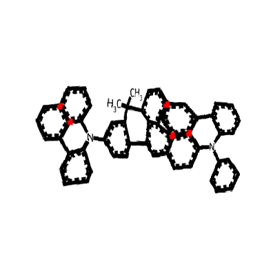 CC1(C)c2cc(N(c3ccccc3)c3ccccc3-c3ccccc3)ccc2-c2cc3ccc(N(c4ccccc4)c4ccccc4-c4ccccc4)cc3c3cccc1c23